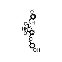 COc1cccc(CNC(=O)c2nc3scc(COCC4CCC(O)CC4)c3c(=O)[nH]2)c1